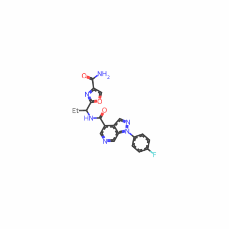 CCC(NC(=O)c1cncc2c1cnn2-c1ccc(F)cc1)c1nc(C(N)=O)co1